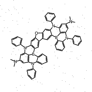 CN(C)c1cc2c3c(c1)N(c1ccccc1)c1cc4oc5cc6c(cc5c4cc1B3c1ccccc1N2c1ccccc1)B1c2ccccc2N(c2ccccc2)c2cc(N(C)C)cc(c21)N6c1ccccc1